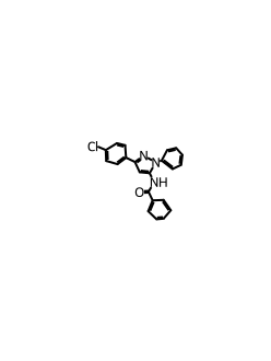 O=C(Nc1cc(-c2ccc(Cl)cc2)nn1-c1ccccc1)c1ccccc1